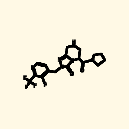 O=C(C1CNCc2nn(Cc3ccnc(C(F)(F)F)c3F)c(=O)n21)N1CCCC1